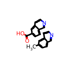 Cc1ccc2cnccc2c1.O=C(O)c1ccc2cnccc2c1